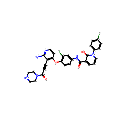 Nc1nccc(Oc2ccc(NC(=O)C3=CC=CN(c4ccc(F)cc4)C3O)cc2F)c1C#CC(=O)N1CCNCC1